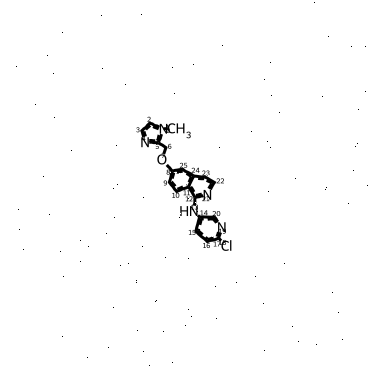 Cn1ccnc1COc1ccc2c(Nc3ccc(Cl)nc3)nccc2c1